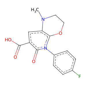 CN1CCOc2c1cc(C(=O)O)c(=O)n2-c1ccc(F)cc1